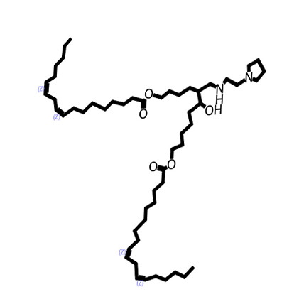 CCCCC/C=C\C/C=C\CCCCCCCC(=O)OCCCCCC(O)C(CCCCOC(=O)CCCCCCC/C=C\C/C=C\CCCCC)CNCCN1CCCC1